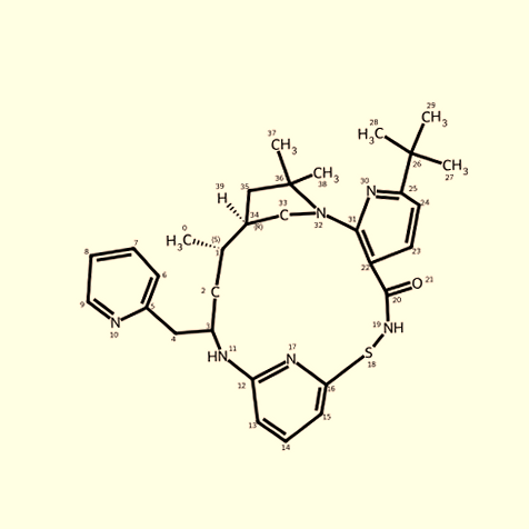 C[C@H]1CC(Cc2ccccn2)Nc2cccc(n2)SNC(=O)c2ccc(C(C)(C)C)nc2N2C[C@@H]1CC2(C)C